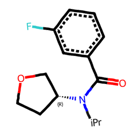 CC(C)N(C(=O)c1cccc(F)c1)[C@@H]1CCOC1